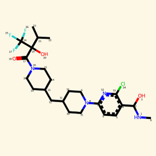 CNC(O)c1ccc(N2CCC(CC3CCN(C(=O)C(O)(C(C)C)C(F)(F)F)CC3)CC2)nc1Cl